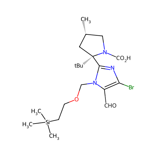 C[C@@H]1CN(C(=O)O)[C@](c2nc(Br)c(C=O)n2COCC[Si](C)(C)C)(C(C)(C)C)C1